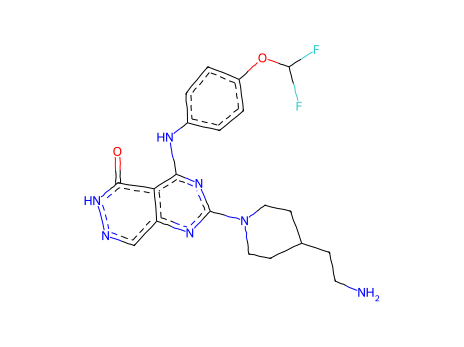 NCCC1CCN(c2nc(Nc3ccc(OC(F)F)cc3)c3c(=O)[nH]ncc3n2)CC1